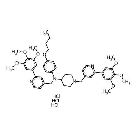 CCCCOc1ccc(N(Cc2ccnc(-c3cc(OC)c(OC)c(OC)c3)c2)C2CCN(Cc3ccnc(-c4cc(OC)c(OC)c(OC)c4)c3)CC2)cc1.Cl.Cl.Cl